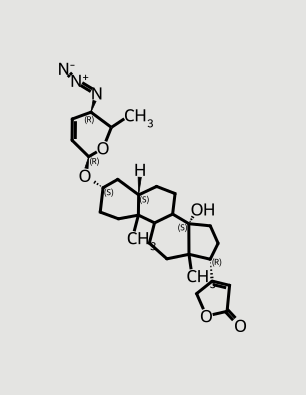 CC1O[C@@H](O[C@H]2CCC3(C)C4CCC5(C)[C@@H](C6=CC(=O)OC6)CC[C@]5(O)C4CC[C@H]3C2)C=C[C@H]1N=[N+]=[N-]